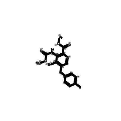 Cc1ccc(Cc2cnc(C(=O)OC(C)C)c(NC(=O)OC(C)(C)C)c2Br)cc1